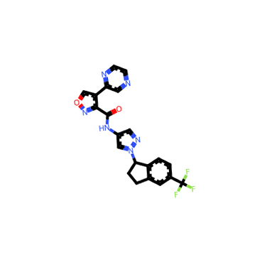 O=C(Nc1cnn(C2CCc3cc(C(F)(F)F)ccc32)c1)c1nocc1-c1cnccn1